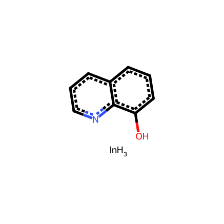 Oc1cccc2cccnc12.[InH3]